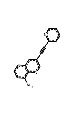 Nc1cccc2cc(C#Cc3ccccn3)cnc12